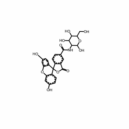 O=C(NC1C(O)OC(CO)C(O)C1O)c1ccc2c(c1)C(=O)OC21c2ccc(O)cc2Oc2cc(O)ccc21